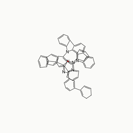 C1=CC(c2cccc(-c3nc(-c4ccccc4)nc(-n4c5ccccc5c5ccc6c7ccccc7n(-c7cc(-c8ccccc8)cc8c9ccccc9n(-c9ccccc9)c78)c6c54)n3)c2)=CCC1